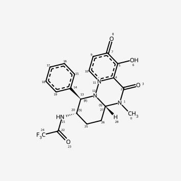 CN1C(=O)c2c(O)c(=O)ccn2N2[C@H](c3ccccc3)[C@@H](NC(=O)C(F)(F)F)CC[C@@H]12